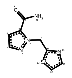 NC(=O)c1ccnn1Cc1nccs1